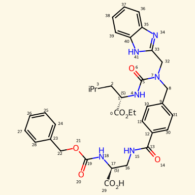 CCOC(=O)[C@H](CC(C)C)NC(=O)N(Cc1ccc(C(=O)NC[C@H](NC(=O)OCc2ccccc2)C(=O)O)cc1)Cc1nc2ccccc2[nH]1